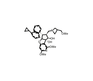 COCC1CN(C[C@H]2[C@@H](O)[C@@]3(O)c4c(cc(OC)nc4OC)O[C@@]3(c3ccc(C4CC4)cc3)[C@@H]2c2ccccc2)C1